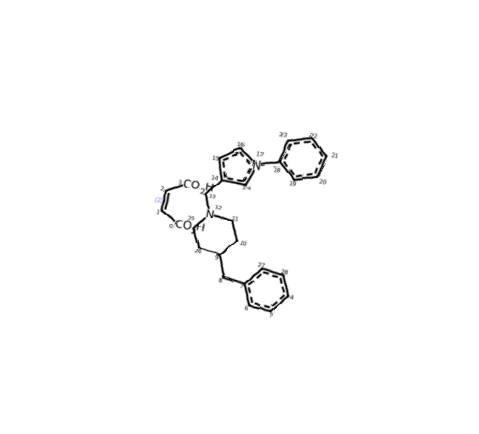 O=C(O)/C=C\C(=O)O.c1ccc(CC2CCN(Cc3ccn(-c4ccccc4)c3)CC2)cc1